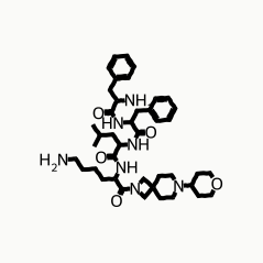 CC(C)CC(NC(=O)C(Cc1ccccc1)NC(=O)C(N)Cc1ccccc1)C(=O)NC(CCCCN)C(=O)N1CC2(CCN(C3CCOCC3)CC2)C1